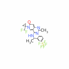 Cc1nc(N[C@H](C)c2cccc(S(F)(F)(F)(F)F)c2)c2cn(C3(C(F)F)CC3)c(=O)cc2n1